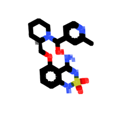 Cc1cc(C(O)N2CCCC[C@@H]2COc2cccc3c2C(N)=NS(=O)(=O)N3)ccn1